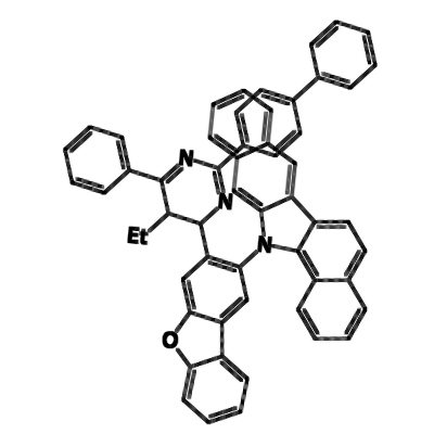 CCC1C(c2ccccc2)=NC(c2ccc(-c3ccccc3)cc2)=NC1c1cc2oc3ccccc3c2cc1-n1c2cc3ccccc3cc2c2ccc3ccccc3c21